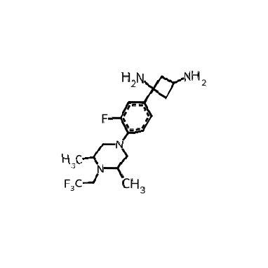 CC1CN(c2ccc(C3(N)CC(N)C3)cc2F)CC(C)N1CC(F)(F)F